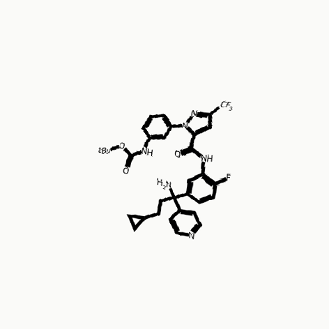 CC(C)(C)OC(=O)Nc1cccc(-n2nc(C(F)(F)F)cc2C(=O)Nc2cc(C(N)(CCC3CC3)c3ccncc3)ccc2F)c1